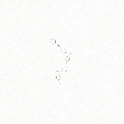 CCC(CC(C)c1ccc(C(=C(Cl)Cl)c2ccc(C#Cc3ccccc3)cc2)cc1)c1ccc(C(=C(Cl)Cl)c2ccc(Br)cc2)cc1